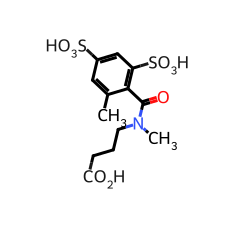 Cc1cc(S(=O)(=O)O)cc(S(=O)(=O)O)c1C(=O)N(C)CCCC(=O)O